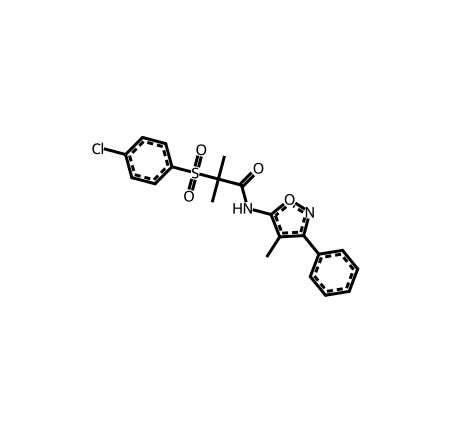 Cc1c(-c2ccccc2)noc1NC(=O)C(C)(C)S(=O)(=O)c1ccc(Cl)cc1